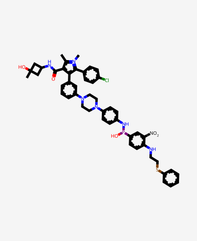 Cc1c(C(=O)NC2CC(C)(O)C2)c(-c2cccc(N3CCN(c4ccc(NP(O)c5ccc(NCCSc6ccccc6)c([N+](=O)[O-])c5)cc4)CC3)c2)c(-c2ccc(Cl)cc2)n1C